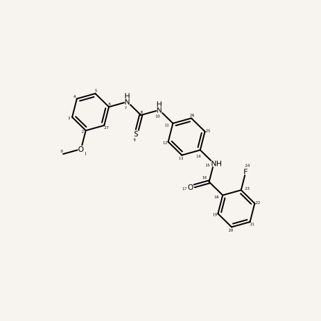 COc1cccc(NC(=S)Nc2ccc(NC(=O)c3ccccc3F)cc2)c1